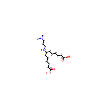 CN(C)CCCNC(CCCCCC(=O)O)CCCCCC(=O)O